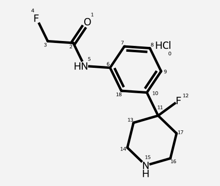 Cl.O=C(CF)Nc1cccc(C2(F)CCNCC2)c1